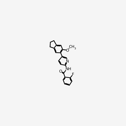 COc1cc2c(cc1-c1ccc(NC(=O)c3ccccc3F)nc1)CCC2